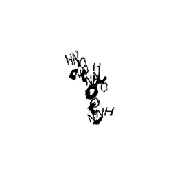 CNC(=O)[C@@H]1CC=CN1C(=O)CNc1ccc(OCC2=NC=CCN2)cc1C(=N)C(C)=O